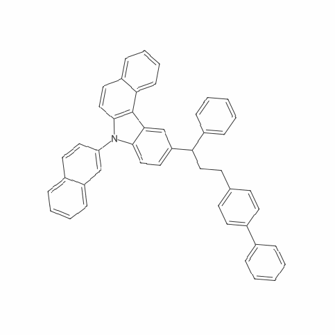 c1ccc(-c2ccc(CCC(c3ccccc3)c3ccc4c(c3)c3c5ccccc5ccc3n4-c3ccc4ccccc4c3)cc2)cc1